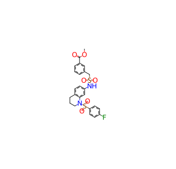 COC(=O)c1cccc(CS(=O)(=O)Nc2ccc3c(c2)N(S(=O)(=O)c2ccc(F)cc2)CCC3)c1